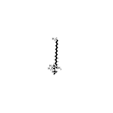 CCCCCCCCCCCCCCCC[N+](C)(C)CC.F[B-](F)(F)F